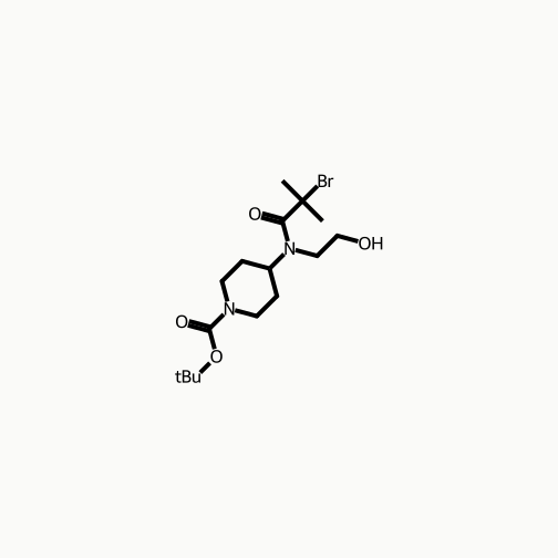 CC(C)(C)OC(=O)N1CCC(N(CCO)C(=O)C(C)(C)Br)CC1